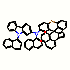 c1ccc2c(c1)Sc1ccc(N(c3ccc4c5ccccc5n(-c5cccc6ccccc56)c4c3)c3cccc4ccccc34)cc1C21c2ccccc2-c2cccc3cccc1c23